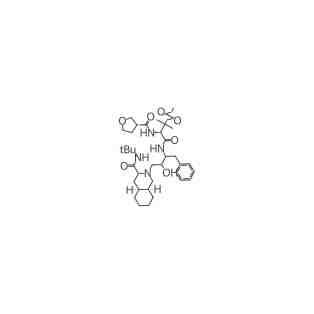 CC(C)(C)NC(=O)C1C[C@@H]2CCCC[C@@H]2CN1CC(O)C(Cc1ccccc1)NC(=O)[C@@H](NC(=O)[C@H]1CCOC1)C(C)(C)S(C)(=O)=O